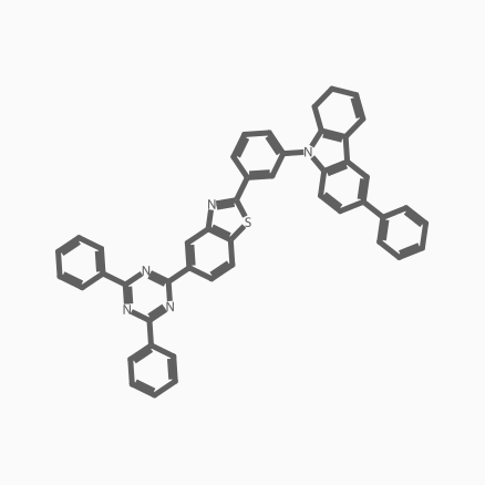 C1=Cc2c(n(-c3cccc(-c4nc5cc(-c6nc(-c7ccccc7)nc(-c7ccccc7)n6)ccc5s4)c3)c3ccc(-c4ccccc4)cc23)CC1